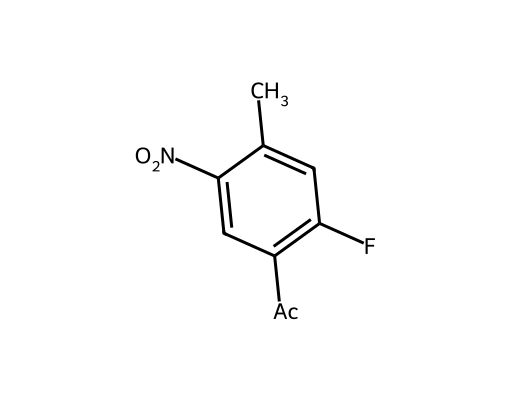 CC(=O)c1cc([N+](=O)[O-])c(C)cc1F